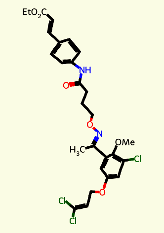 CCOC(=O)/C=C/c1ccc(NC(=O)CCCO/N=C(\C)c2cc(OCC=C(Cl)Cl)cc(Cl)c2OC)cc1